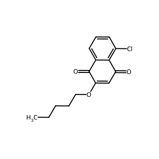 CCCCCOC1=CC(=O)c2c(Cl)cccc2C1=O